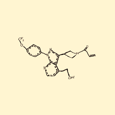 C=CC(=O)N1CC(c2nn(-c3ccc(OC(F)(F)F)cc3)c3nccc(CO)c23)C1